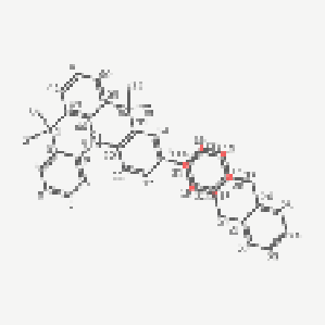 CC1(C)c2ccccc2N2c3ccc(-c4ccc5c(c4)C4c6ccccc6C5c5ccccc54)cc3C(C)(C)c3cccc1c32